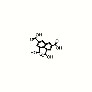 O=C(O)c1cc(C(=O)O)c2c(C(=O)O)cc(C(=O)O)cc2c1